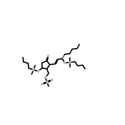 CCCCC[C@H](C=CC1C(=O)CC(O[Si](C)(C)CCCC)C1COS(C)(=O)=O)O[Si](C)(C)CCCC